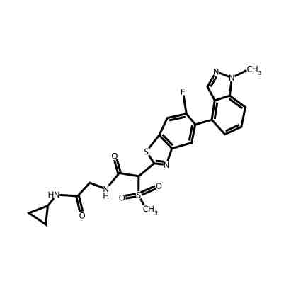 Cn1ncc2c(-c3cc4nc(C(C(=O)NCC(=O)NC5CC5)S(C)(=O)=O)sc4cc3F)cccc21